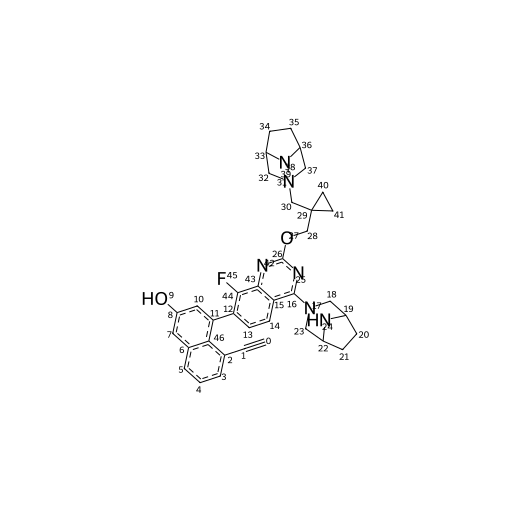 C#Cc1cccc2cc(O)cc(-c3ccc4c(N5CC6CCC(C5)N6)nc(OCC5(CN6CC7CCC(C6)N7C)CC5)nc4c3F)c12